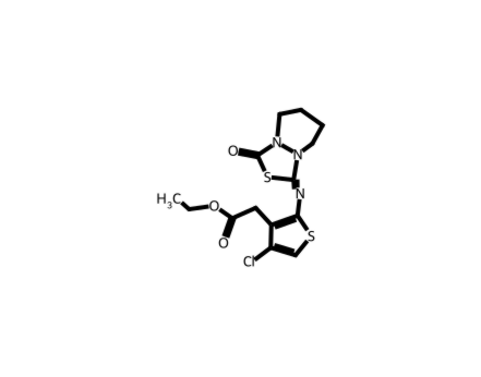 CCOC(=O)Cc1c(Cl)csc1N=c1sc(=O)n2n1CCCC2